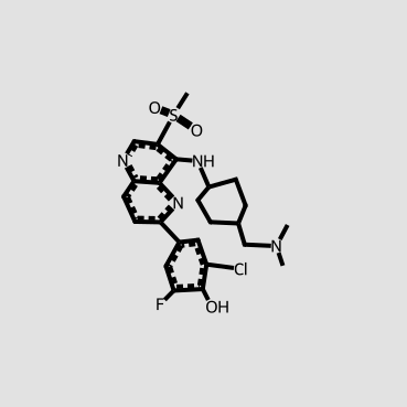 CN(C)CC1CCC(Nc2c(S(C)(=O)=O)cnc3ccc(-c4cc(F)c(O)c(Cl)c4)nc23)CC1